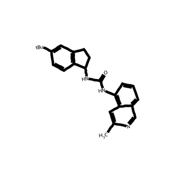 Cc1cc2c(NC(=O)NC3CCc4cc(C(C)(C)C)ccc43)cccc2cn1